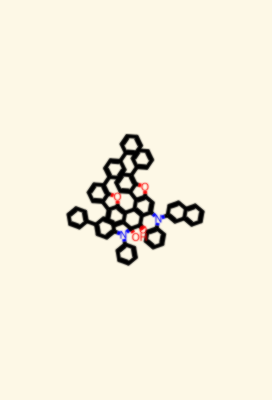 O=C1c2c(N(c3ccccc3)c3ccc4ccccc4c3)cc3oc4c(-c5ccccc5)cccc4c3c2-c2c(ccc3c2oc2c(-c4ccc(-c5ccccc5)cc4)cccc23)C1(O)N(c1ccccc1)c1ccc(-c2ccccc2)cc1